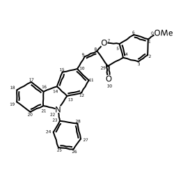 COc1ccc2c(c1)O/C(=C/c1ccc3c(c1)c1ccccc1n3-c1ccccc1)C2=O